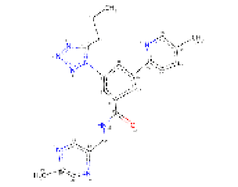 CCCc1nnnn1-c1cc(C(=O)NCc2cnc(C)cn2)cc(-c2ccc(C)cn2)c1